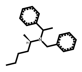 CCCC[C@@H](C)N(Cc1ccccc1)C(C)c1ccccc1